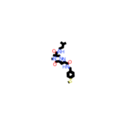 CSc1ccc(CNC(=O)c2cc3n(n2)CC(C)(C(=O)NCCC(C)C)N(C)C3=O)cc1